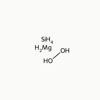 OO.[MgH2].[SiH4]